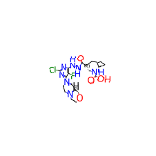 O=C(O)NC[C@@H](CC1CCC1)C(=O)NNc1nc(Cl)nc(N2CCN3CCOC[C@@H]3C2)c1F